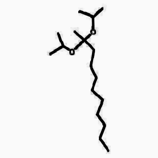 CCCCCCCCCC(C)(OC(C)C)OC(C)C